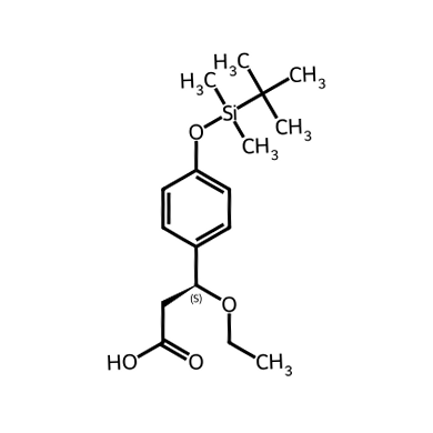 CCO[C@@H](CC(=O)O)c1ccc(O[Si](C)(C)C(C)(C)C)cc1